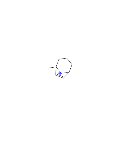 CC12C=CC(CCC1)N2